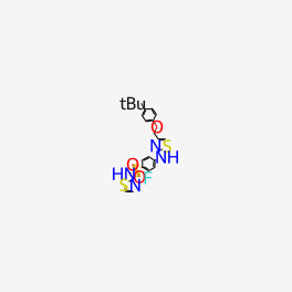 CC(C)(C)c1ccc(OCc2csc(Nc3ccc(S(=O)(=O)Nc4nccs4)c(F)c3)n2)cc1